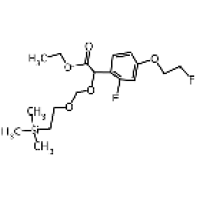 CCOC(=O)C(OCOCC[Si](C)(C)C)c1ccc(OCCF)cc1F